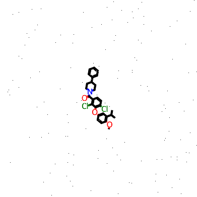 COc1ccc(Oc2c(Cl)ccc(C(=O)N3CCC(c4ccccc4)CC3)c2Cl)cc1C(C)C